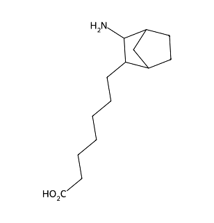 NC1C2CCC(C2)C1CCCCCCC(=O)O